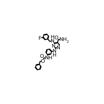 NC(=O)c1cnc(Nc2cccc(NC(=O)OCc3ccccc3)c2)nc1NCc1cccc(F)c1